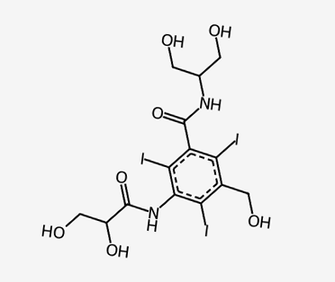 O=C(NC(CO)CO)c1c(I)c(CO)c(I)c(NC(=O)C(O)CO)c1I